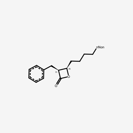 CCCCCCCCCCCCC[C@H]1OC(=O)[C@H]1Cc1ccccc1